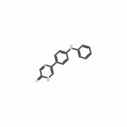 O=c1cnc(-c2ccc(Nc3ccccc3)cc2)c[nH]1